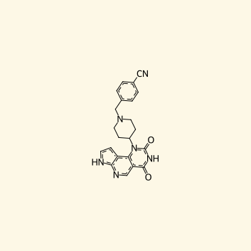 N#Cc1ccc(CN2CCC(n3c(=O)[nH]c(=O)c4cnc5[nH]ccc5c43)CC2)cc1